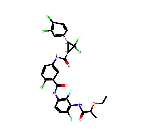 CCOC(C)C(=O)Nc1c(F)ccc(NC(=O)c2cc(NC(=O)[C@H]3[C@H](c4ccc(Cl)c(Cl)c4)C3(Cl)Cl)ccc2Cl)c1F